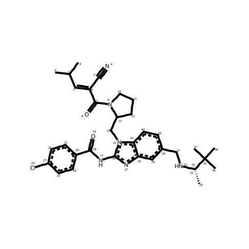 CC(C)C=C(C#N)C(=O)N1CCCC1Cn1c(NC(=O)c2ccc(Cl)cc2)nc2cc(CN[C@@H](C)C(C)(C)C)ccc21